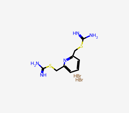 Br.Br.N=C(N)SCc1cccc(CSC(=N)N)n1